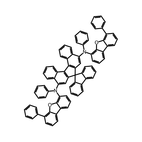 c1ccc(-c2cccc3c2oc2c(N(c4ccccc4)c4cc5c(c6ccccc46)-c4c(cc(N(c6ccccc6)c6cccc7c6oc6c(-c8ccccc8)cccc67)c6ccccc46)C54c5ccccc5-c5ccccc54)cccc23)cc1